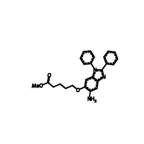 COC(=O)CCCCOc1cc2c(cc1N)nc(-c1ccccc1)n2-c1ccccc1